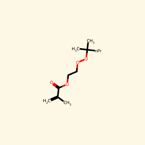 C=C(C)C(=O)OC[CH]OOC(C)(C)CCC